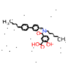 CCCCCCN(Cc1ccc(-c2ccc(CCCC)cc2)cc1)C(=O)c1ccc(O)c(C(=O)O)c1